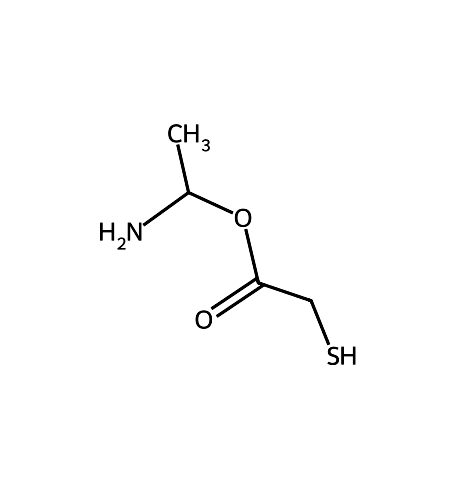 CC(N)OC(=O)CS